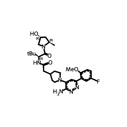 COc1ccc(F)cc1-c1cc(N2CCC(CC(=O)N[C@H](C(=O)N3C[C@H](O)C[C@H]3C)C(C)(C)C)CC2)c(N)nn1